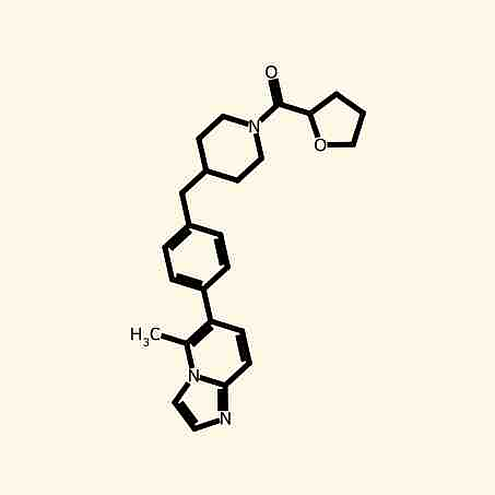 Cc1c(-c2ccc(CC3CCN(C(=O)C4CCCO4)CC3)cc2)ccc2nccn12